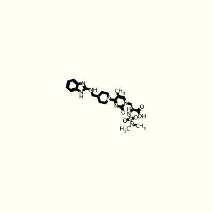 Cc1cn(C[C@H](NS(=O)(=O)N(C)C)C(=O)O)c(=O)nc1N1CCC(CNc2nc3ccccc3[nH]2)CC1